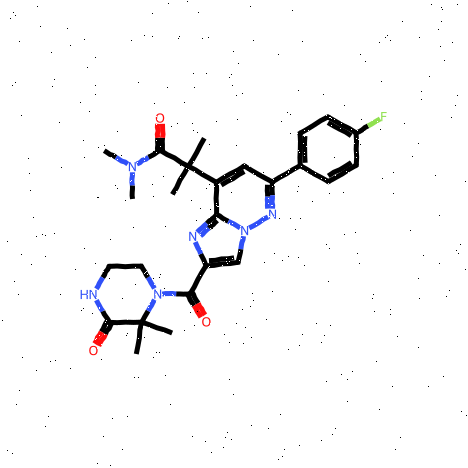 CN(C)C(=O)C(C)(C)c1cc(-c2ccc(F)cc2)nn2cc(C(=O)N3CCNC(=O)C3(C)C)nc12